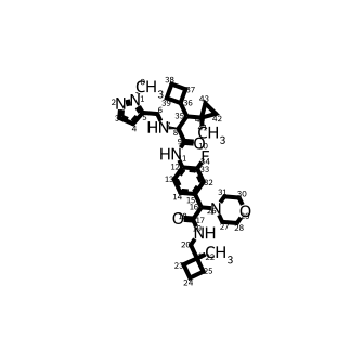 Cn1nccc1CN[C@H](C(=O)Nc1ccc(C(C(=O)NCC2(C)CCC2)N2CCOCC2)cc1F)C(C1CCC1)C1(C)CC1